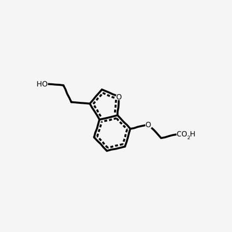 O=C(O)COc1cccc2c(CCO)coc12